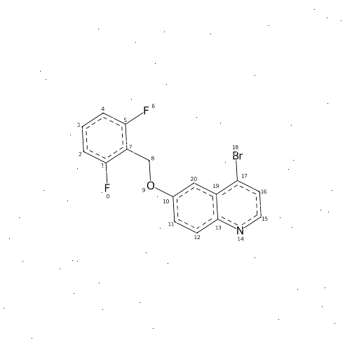 Fc1cccc(F)c1COc1ccc2nccc(Br)c2c1